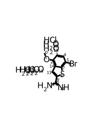 COc1ccc(Br)c2sc(C(=N)N)cc12.Cl.O.O.O.O.O.O